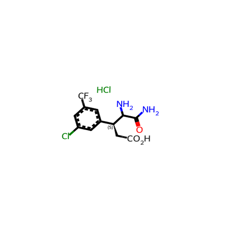 Cl.NC(=O)C(N)[C@@H](CC(=O)O)c1cc(Cl)cc(C(F)(F)F)c1